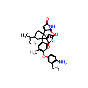 Cc1cc(Oc2ccc(C3(C4=CC(=O)NC4=O)CC(C(C)C)CCC3(C)C3=CC(=O)NC3=O)cc2C)ccc1N